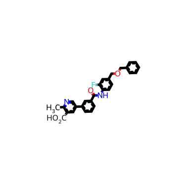 Cc1ncc(-c2cccc(C(=O)Nc3ccc(COCc4ccccc4)cc3F)c2)cc1C(=O)O